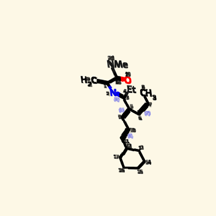 C=C(/N=C(CC)/C(/C=C\C)=C/C=C/C1CCCCC1)C(=O)NC